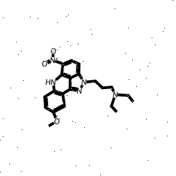 CCN(CC)CCCn1nc2c3c(c([N+](=O)[O-])ccc31)Nc1ccc(OC)cc1-2